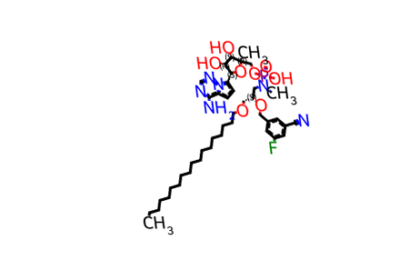 CCCCCCCCCCCCCCCCCCOC[C@H](CN(C)P(=O)(O)OC[C@@]1(C)O[C@@H](c2ccc3c(N)ncnn23)[C@H](O)[C@@H]1O)OCc1cc(F)cc(C#N)c1